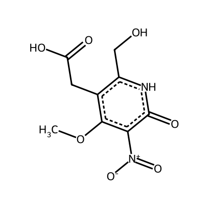 COc1c(CC(=O)O)c(CO)[nH]c(=O)c1[N+](=O)[O-]